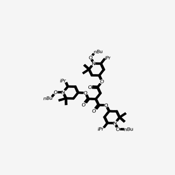 CCCCON1C(C(C)C)CC(OC(=O)CC(C(=O)OC2CC(C(C)C)N(OCCCC)C(C)(C)C2)C(=O)OC2CC(C(C)C)N(OCCCC)C(C)(C)C2)CC1(C)C